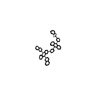 c1cc(-c2ccc3c(-c4ccc5ccccc5c4)c4ccccc4c(-c4ccc5ccccc5c4)c3c2)cc(-c2c3ccccc3c(-c3cccc(-c4nc5ccccc5o4)c3)c3ccccc23)c1